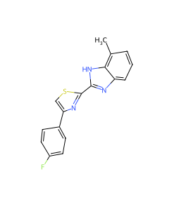 Cc1cccc2nc(-c3nc(-c4ccc(F)cc4)cs3)[nH]c12